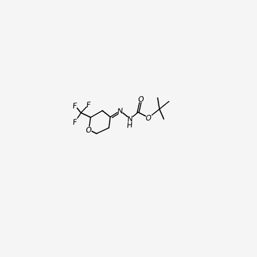 CC(C)(C)OC(=O)NN=C1CCOC(C(F)(F)F)C1